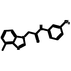 Cc1cccc2c1ncn2CC(=O)Nc1cccc(C(F)(F)F)c1